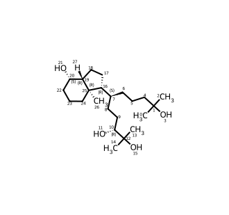 CC(C)(O)CCC[C@@H](CC[C@@H](O)C(C)(C)O)[C@H]1CC[C@H]2[C@@H](O)CCC[C@]12C